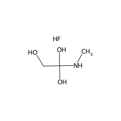 CNC(O)(O)CO.F